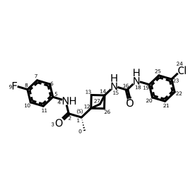 C[C@H](C(=O)Nc1ccc(F)cc1)C12CC(NC(=O)Nc3cccc(Cl)c3)(C1)C2